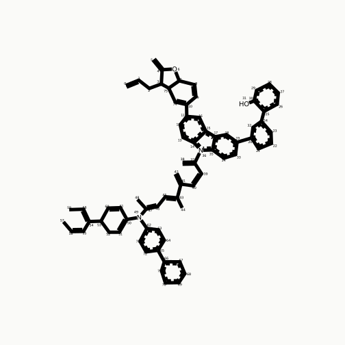 C=CCC1C(=C)OC2C=CC(c3ccc4c(c3)c3cc(-c5cccc(-c6ccccc6O)c5)ccc3n4C(=C)/C=C\C(=C)/C(C)=C/C=C(\C)N(C3=CCC(C(/C=C\C)=C/C)C=C3)c3ccc(-c4ccccc4)cc3)=CC21